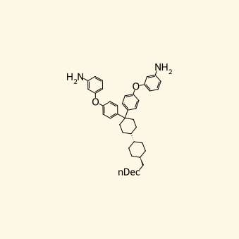 CCCCCCCCCCC[C@H]1CC[C@H](C2CCC(c3ccc(Oc4cccc(N)c4)cc3)(c3ccc(Oc4cccc(N)c4)cc3)CC2)CC1